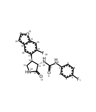 O=C(Nc1ccc(F)cc1)N[C@@H]1C(=O)NC[C@H]1c1cc2ccoc2cc1F